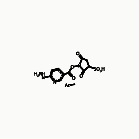 CC(C)=O.NNc1ccc(C(=O)ON2C(=O)CC(S(=O)(=O)O)C2=O)cn1